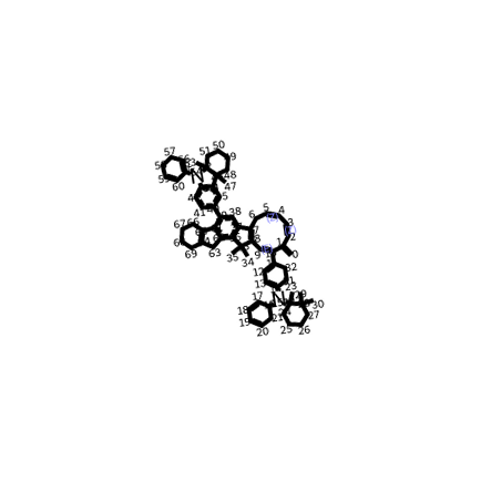 C=C1/C=C\C=C/CC2=C(/C=C\1C1=CC=C(N(C3C=CC=CC3)C3(C)CCCCC3(C)C)CC1)C(C)(C)c1c2cc(-c2ccc3c(c2)C2(C)CCCCC2(C)N3C2=CCCC=C2)c2c1CC1=C2CCCC1